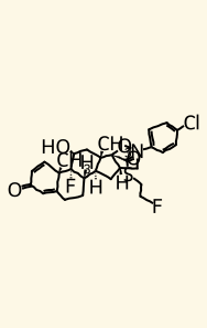 C[C@]12C=CC(=O)C=C1CC[C@H]1[C@@H]3C[C@H]4CN(c5ccc(Cl)cc5)O[C@@]4(C(=O)SCCF)[C@@]3(C)C[C@H](O)[C@@]12F